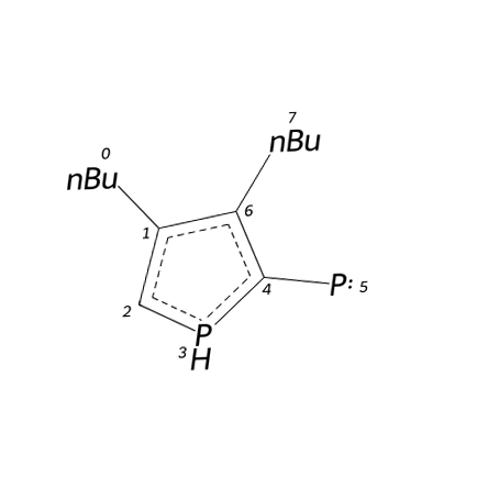 CCCCc1c[pH]c([P])c1CCCC